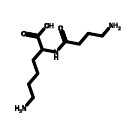 NCCCCC(NC(=O)CCCN)C(=O)O